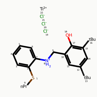 CCCSc1ccccc1[NH2+]Cc1cc(C(C)(C)C)cc(C(C)(C)C)c1O.[Cl-].[Cl-].[Cl-].[Ti+2]